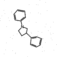 [c]1cccc(C2CCN(c3ccccc3)C2)c1